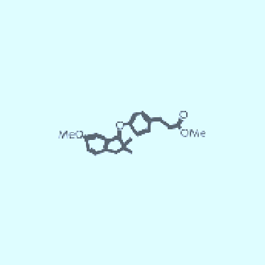 COC(=O)CCc1ccc(OC2c3cc(OC)ccc3CC2(C)C)cc1